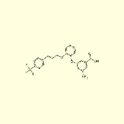 Cc1cc(Oc2ccccc2OCC=Cc2ccc(C(F)(F)F)cc2)cc(C(=O)O)c1